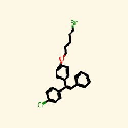 Clc1ccc(C(=Cc2ccccc2)c2ccc(OCCCCCBr)cc2)cc1